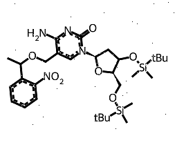 CC(OCc1cn([C@H]2CC(O[Si](C)(C)C(C)(C)C)[C@@H](CO[Si](C)(C)C(C)(C)C)O2)c(=O)nc1N)c1ccccc1[N+](=O)[O-]